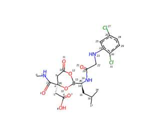 CNC(=O)[C@@]1(CC(=O)O)CC(=O)OB([C@H](CC(C)C)NC(=O)CNc2cc(Cl)ccc2Cl)O1